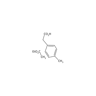 CCOC(C)=O.Cc1ccc(CC(=O)O)cc1